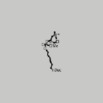 CCCCCCCCCCCCCCCCOP(=O)(OC)O[C@H](CCl)C[N+](C)(C)C